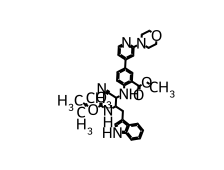 COC(=O)c1cc(-c2ccnc(N3CCOCC3)c2)ccc1NC(C#N)C(Cc1c[nH]c2ccccc12)NC(=O)OC(C)(C)C